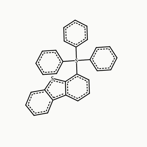 c1ccc(S(c2ccccc2)(c2ccccc2)c2cccc3c2sc2ccccc23)cc1